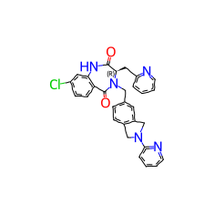 O=C1Nc2cc(Cl)ccc2C(=O)N(Cc2ccc3c(c2)CN(c2ccccn2)C3)[C@@H]1Cc1ccccn1